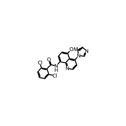 COc1ccc(NC(=O)c2c(Cl)cccc2Cl)c2nccc(-n3ccnc3)c12